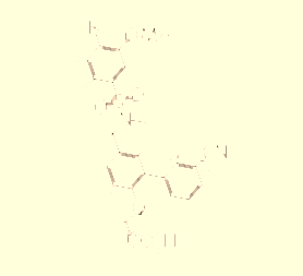 COc1cc(S(=O)(=O)N(C)Cc2ccc(OCC(=O)O)c(-c3cccc(C#N)c3)c2)ccc1F